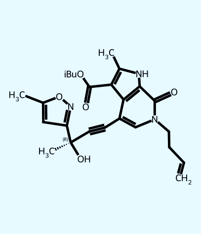 C=CCCn1cc(C#C[C@@](C)(O)c2cc(C)on2)c2c(C(=O)OCC(C)C)c(C)[nH]c2c1=O